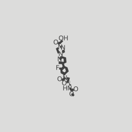 COC(=O)NC[C@H]1CN(c2ccc(-c3ccc(N4C=NN(C(=O)CO)CC4)nc3)c(F)c2)C(=O)O1